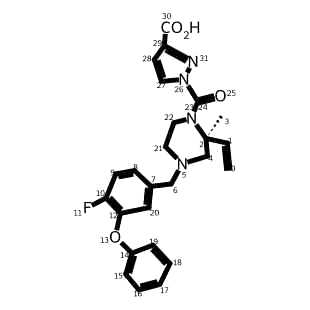 C=C[C@@]1(C)CN(Cc2ccc(F)c(Oc3ccccc3)c2)CCN1C(=O)n1ccc(C(=O)O)n1